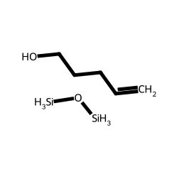 C=CCCCO.[SiH3]O[SiH3]